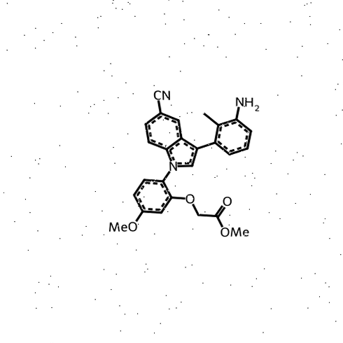 COC(=O)COc1cc(OC)ccc1-n1cc(-c2cccc(N)c2C)c2cc(C#N)ccc21